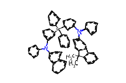 CC1(C)c2ccccc2-c2cc(N(c3ccccc3)c3cccc([Si](c4ccccc4)(c4ccccc4)c4cccc(N(c5ccccc5)c5ccc6ccccc6c5)c4)c3)ccc21